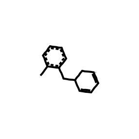 Cc1ccccc1CC1C=CC=[C]C1